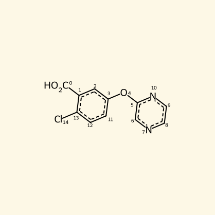 O=C(O)c1cc(Oc2cnccn2)ccc1Cl